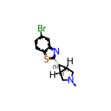 CN1C[C@@H]2[C@H](C1)[C@@H]2c1nc2cc(Br)ccc2s1